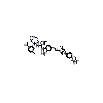 Cc1ccc(C(C)C)c(N2COCCS/C2=N\C(=O)Nc2c(F)cc(/C=C/c3ncn(-c4ccc(OC(F)(F)F)cc4)n3)cc2F)c1